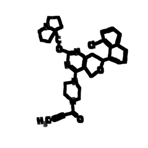 CC#CC(=O)N1CCN(c2nc(OCC34CCCN3CCC4)nc3c2COC(c2cccc4cccc(Cl)c24)C3)CC1